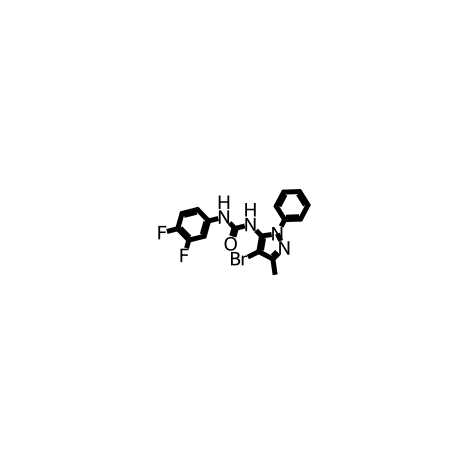 Cc1nn(-c2ccccc2)c(NC(=O)Nc2ccc(F)c(F)c2)c1Br